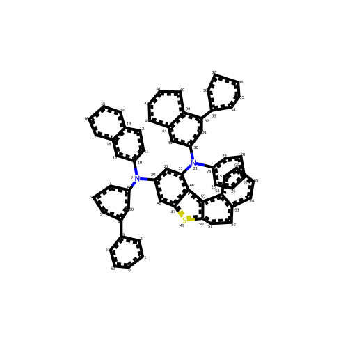 c1ccc(-c2cccc(N(c3ccc4ccccc4c3)c3cc(N(c4ccccc4)c4cc(-c5ccccc5)c5ccccc5c4)c4c(c3)sc3ccc5ccccc5c34)c2)cc1